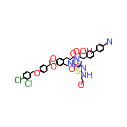 COCCNc1nc(C)c(S(=O)(=O)N2Cc3cc4c(cc3CC2C(=O)NC(Cc2ccc(-c3ccc(C#N)cc3)cc2)C(=O)O)OCC(c2ccc(OCc3ccc(Cl)c(Cl)c3)cc2)O4)s1